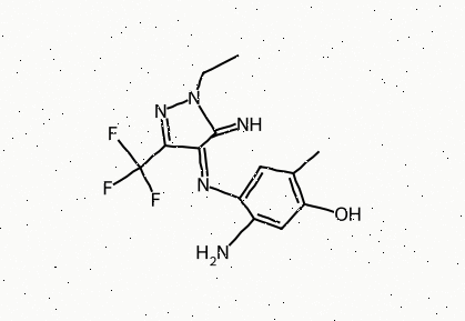 CCN1N=C(C(F)(F)F)C(=Nc2cc(C)c(O)cc2N)C1=N